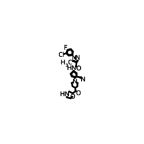 Cc1c(C(=O)Nc2ccc(N3CCC(C(=O)C4CNCCO4)CC3)c(C#N)c2)cnn1-c1ccc(F)c(Cl)c1